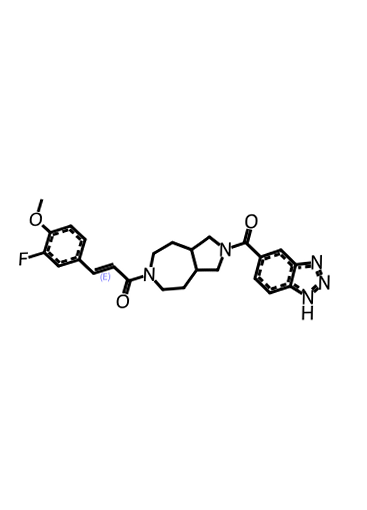 COc1ccc(/C=C/C(=O)N2CCC3CN(C(=O)c4ccc5[nH]nnc5c4)CC3CC2)cc1F